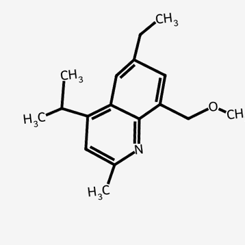 CCc1cc(COC)c2nc(C)cc(C(C)C)c2c1